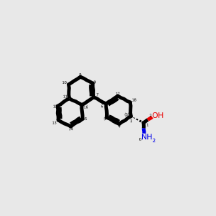 NC(O)[C@@H]1C=CC(C2=CCCC3C=CC=CC23)=CC1